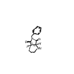 O=C1[C@H]2CCCN[C@H]2C(=O)N1Cc1ccccc1